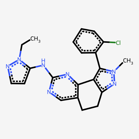 CCn1nccc1Nc1ncc2c(n1)-c1c(nn(C)c1-c1ccccc1Cl)CC2